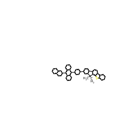 CC1(C)c2cc(-c3ccc(-c4c5ccccc5c(-c5ccc6ccccc6c5)c5ccccc45)cc3)ccc2-c2ccc3c(sc4ccccc43)c21